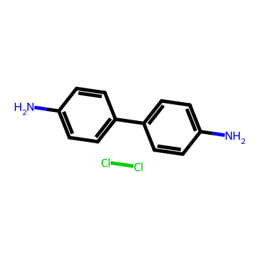 ClCl.Nc1ccc(-c2ccc(N)cc2)cc1